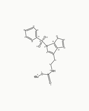 CC(C)(C)OC(=O)NCCc1cn(S(=O)(=O)c2ccccc2)c2sccc12